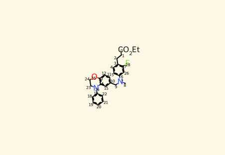 CCOC(=O)CCc1ccc(N(C)Cc2ccc3c(c2)N(c2ccccc2)CCO3)cc1F